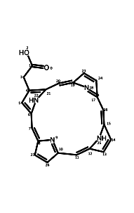 O=C(O)Cc1cc2cc3nc(cc4ccc(cc5nc(cc1[nH]2)C=C5)[nH]4)C=C3